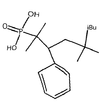 CCC(C)C(C)(C)CC(c1ccccc1)C(C)(C)P(=O)(O)O